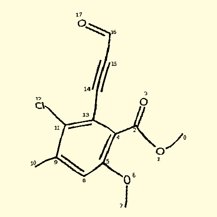 COC(=O)c1c(OC)cc(C)c(Cl)c1C#CC=O